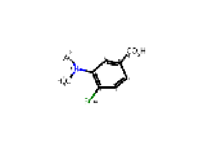 CC(=O)N(C)c1cc(C(=O)O)ccc1Br